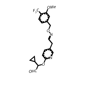 COc1cc(CON=CCc2ccc(OC(C=O)C3CC3)nc2)ccc1C(F)(F)F